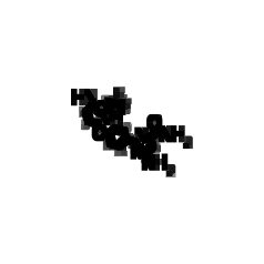 N=C(/C=C\C(=N)Oc1ccc(-c2nc(N)cc(C(N)=O)n2)cc1)OCC(F)(F)F